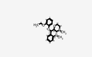 CCOc1ccccc1OC(c1ccccc1OC)C1CN(C)CCO1